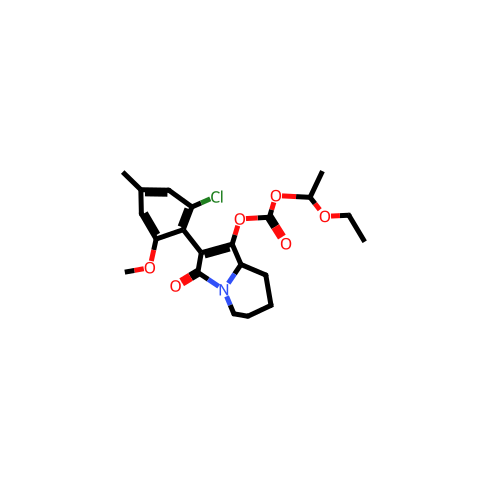 CCOC(C)OC(=O)OC1=C(c2c(Cl)cc(C)cc2OC)C(=O)N2CCCCC12